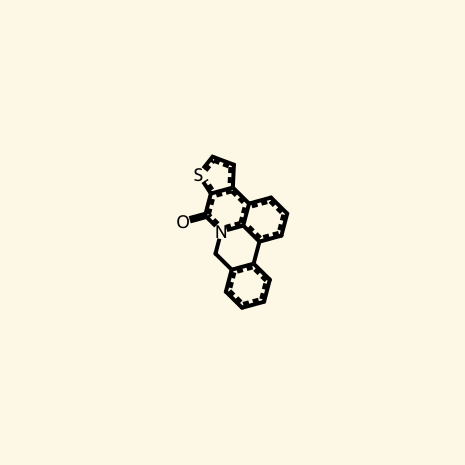 O=c1c2sccc2c2cccc3c2n1Cc1ccccc1-3